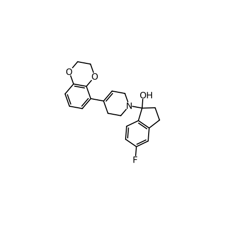 OC1(N2CC=C(c3cccc4c3OCCO4)CC2)CCc2cc(F)ccc21